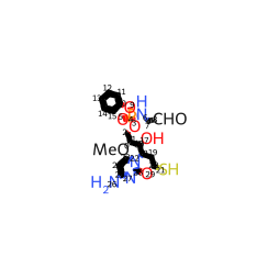 COC(COP(=O)(NCC=O)Oc1ccccc1)[C@@H](O)C(CCS)n1ccc(N)nc1=O